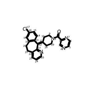 O=C(c1cnccn1)N1CCC(=C2c3ccc(Cl)cc3CCc3cccnc32)CC1